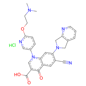 CN(C)CCOc1ccc(-n2cc(C(=O)O)c(=O)c3cc(C#N)c(N4Cc5cccnc5C4)cc32)cn1.Cl